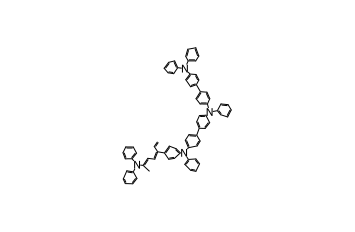 C=C/C(=C\C=C(/C)N(c1ccccc1)c1ccccc1)c1ccc(N(c2ccccc2)c2ccc(-c3ccc(N(c4ccccc4)c4ccc(-c5ccc(N(c6ccccc6)c6ccccc6)cc5)cc4)cc3)cc2)cc1